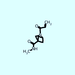 C=CC(=O)N1CC2(C(=O)NC)CC1C2